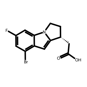 O=C(O)C[C@H]1CCn2c1cc1c(Br)cc(F)cc12